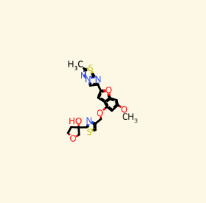 COc1cc(OCc2csc(C3(O)CCOC3)n2)c2cc(-c3cn4nc(C)sc4n3)oc2c1